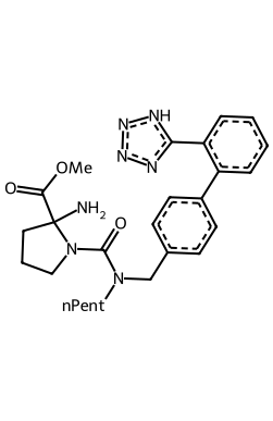 CCCCCN(Cc1ccc(-c2ccccc2-c2nnn[nH]2)cc1)C(=O)N1CCCC1(N)C(=O)OC